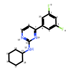 Fc1cc(F)cc(-c2ccnc(NC3CCCCC3)n2)c1